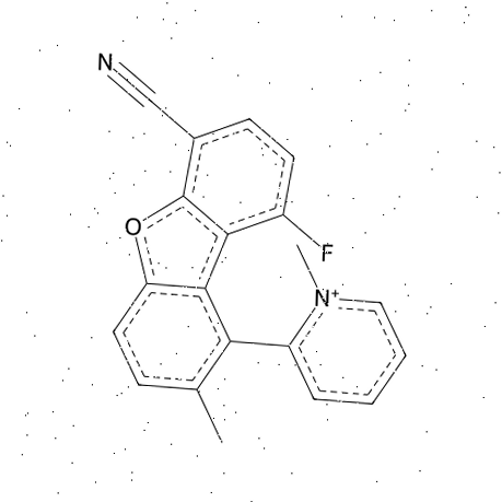 Cc1ccc2oc3c(C#N)ccc(F)c3c2c1-c1cccc[n+]1C